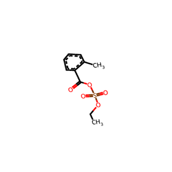 CCOS(=O)(=O)OC(=O)c1ccccc1C